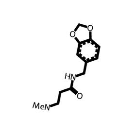 CNCCC(=O)NCc1ccc2c(c1)OCO2